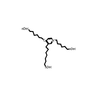 CCCCCCCCCCCCCCCCCc1cc[n+](CCCCCCCCCCCCCCCC)cc1CCCCCCCCCCCCCCCCC